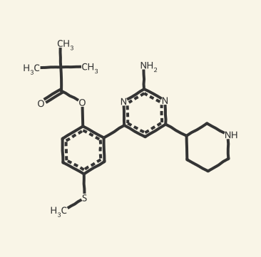 CSc1ccc(OC(=O)C(C)(C)C)c(-c2cc(C3CCCNC3)nc(N)n2)c1